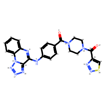 O=C(c1ccc(Nc2nc3ccccc3n3nnnc23)cc1)N1CCN(C(=O)c2csnn2)CC1